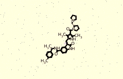 Cc1ccc([C@H](C)NC(=O)c2ccc3c(c2)/C(=C/c2[nH]c(C)c(C(=O)N4CCC[C@H]4CN4CCCC4)c2C)C(=O)N3)cc1